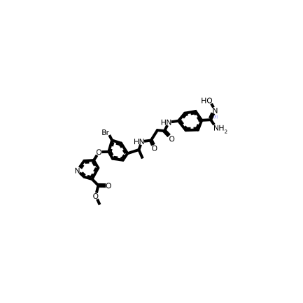 COC(=O)c1cncc(Oc2ccc(C(C)NC(=O)CC(=O)Nc3ccc(/C(N)=N\O)cc3)cc2Br)c1